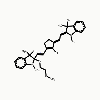 COCCOC1(/C=C/C2=C(Cl)C(=C/C=C3\N(C)c4ccccc4C3(C)C)/CC2)N(C)c2ccccc2C1(C)C